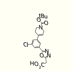 CC(C)(C)OC(=O)N1CC=C(c2cc(Cl)cc(-c3nnc(CC(=O)O)o3)c2)CC1